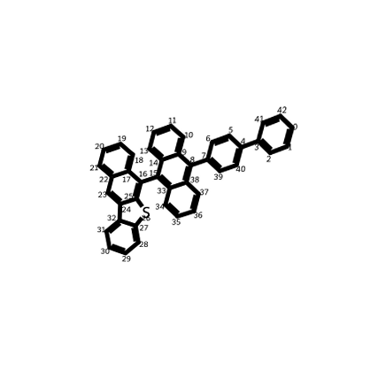 c1ccc(-c2ccc(-c3c4ccccc4c(-c4c5ccccc5cc5c4sc4ccccc45)c4ccccc34)cc2)cc1